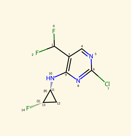 FC(F)c1cnc(Cl)nc1N[C@@H]1C[C@@H]1F